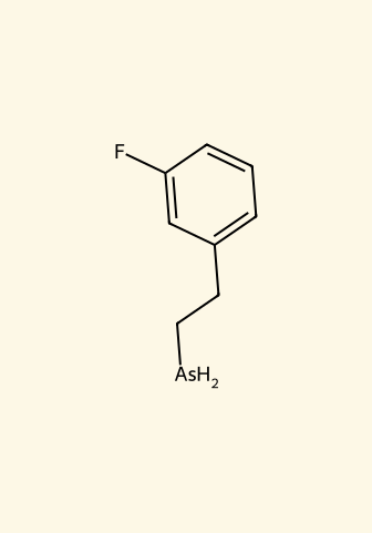 Fc1cccc(CC[AsH2])c1